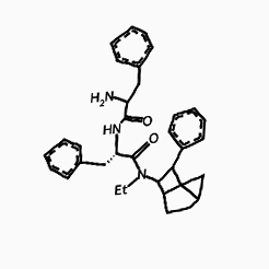 CCN(C(=O)[C@H](Cc1ccccc1)NC(=O)C(N)Cc1ccccc1)C1C2CCC3CC32C1c1ccccc1